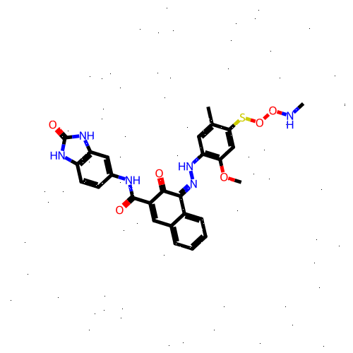 CNOOSc1cc(OC)c(N/N=C2\C(=O)C(C(=O)Nc3ccc4[nH]c(=O)[nH]c4c3)=Cc3ccccc32)cc1C